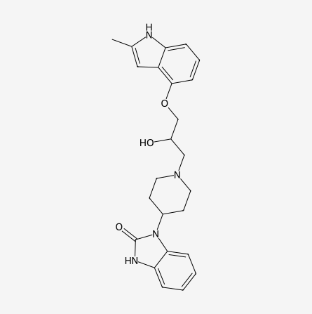 Cc1cc2c(OCC(O)CN3CCC(n4c(=O)[nH]c5ccccc54)CC3)cccc2[nH]1